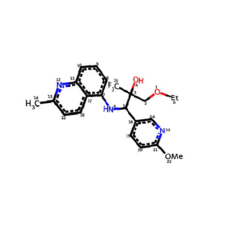 CCOCC(O)(C(Nc1cccc2nc(C)ccc12)c1ccc(OC)nc1)C(F)(F)F